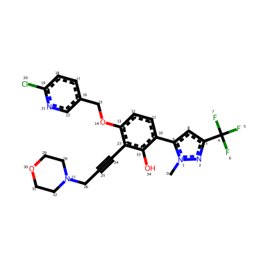 Cn1nc(C(F)(F)F)cc1-c1ccc(OCc2ccc(Cl)nc2)c(C#CCN2CCOCC2)c1O